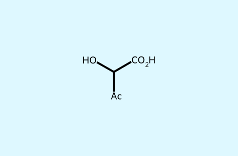 CC(=O)C(O)C(=O)O